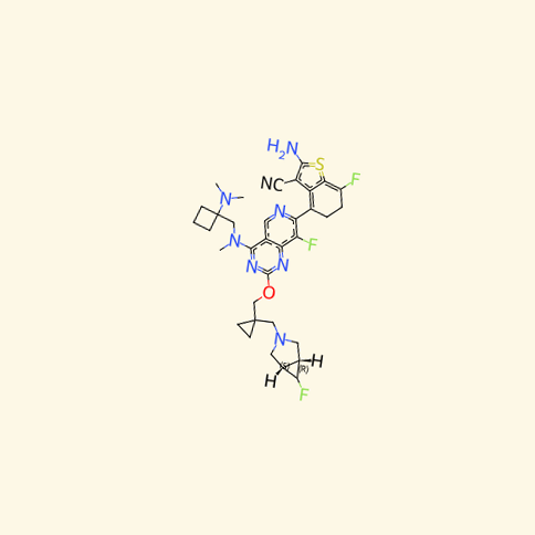 CN(CC1(N(C)C)CCC1)c1nc(OCC2(CN3C[C@@H]4C(F)[C@@H]4C3)CC2)nc2c(F)c(C3=c4c(C#N)c(N)sc4=C(F)CC3)ncc12